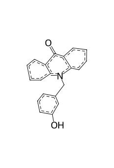 O=c1c2ccccc2n(Cc2cccc(O)c2)c2ccccc12